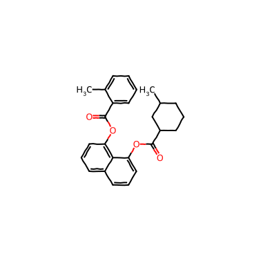 Cc1ccccc1C(=O)Oc1cccc2cccc(OC(=O)C3CCCC(C)C3)c12